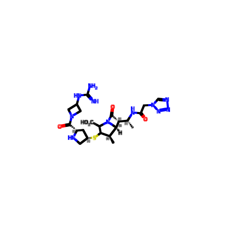 C[C@@H](NC(=O)Cn1cnnn1)[C@H]1C(=O)N2C(C(=O)O)C(S[C@@H]3CN[C@H](C(=O)N4CC(NC(=N)N)C4)C3)[C@H](C)[C@H]12